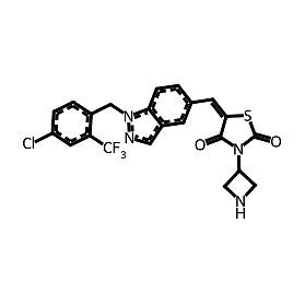 O=C1SC(=Cc2ccc3c(cnn3Cc3ccc(Cl)cc3C(F)(F)F)c2)C(=O)N1C1CNC1